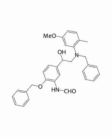 COc1ccc(C)c(N(Cc2ccccc2)CC(O)c2ccc(OCc3ccccc3)c(NC=O)c2)c1